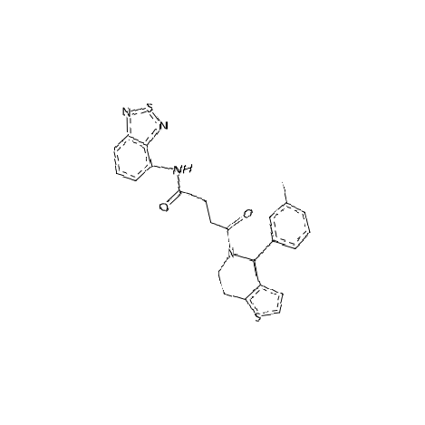 Cc1cccc(C2c3ccsc3CCN2C(=O)CCC(=O)Nc2cccc3nsnc23)c1